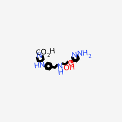 Nc1ccc(OC[C@@H](O)CNCCc2ccc(NC3CCN(C(=O)O)CC3)cc2)cn1